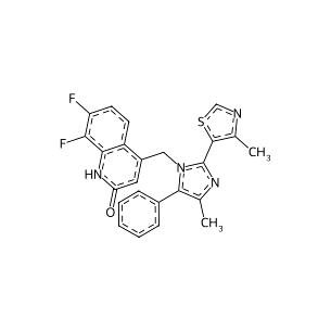 Cc1ncsc1-c1nc(C)c(-c2ccccc2)n1Cc1cc(=O)[nH]c2c(F)c(F)ccc12